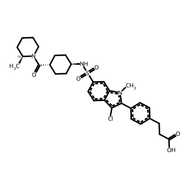 C[C@H]1CCCCN1C(=O)[C@H]1CC[C@H](NS(=O)(=O)c2ccc3c(Cl)c(-c4ccc(CCC(=O)O)cc4)n(C)c3c2)CC1